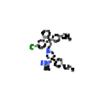 CCNCC1(c2ccc(C)cc2)CCN(CCC(c2ccccc2)(c2ccc(C)cc2)c2ccc(Cl)cc2)CC1